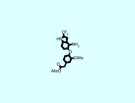 COC(=O)Cc1ccc(Oc2ccc3[nH]c(C(F)(F)F)cc3c2N)c(OC)c1